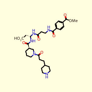 COC(=O)c1ccc(C(=O)NCCC(=O)N[C@@H](CC(=O)O)NC(=O)[C@@H]2CCCN(C(=O)CCC3CCNCC3)C2)cc1